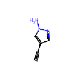 C#Cc1cnn(N)c1